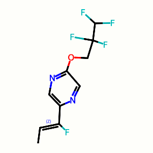 C/C=C(\F)c1cnc(OCC(F)(F)C(F)F)cn1